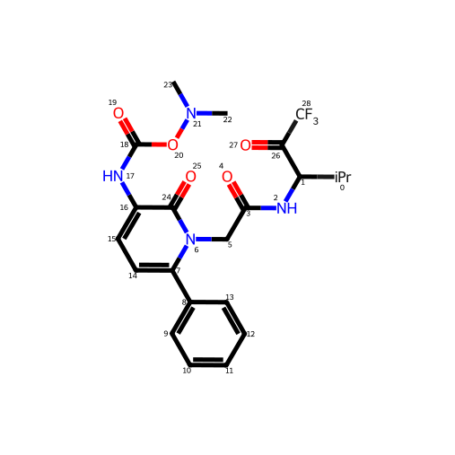 CC(C)C(NC(=O)Cn1c(-c2ccccc2)ccc(NC(=O)ON(C)C)c1=O)C(=O)C(F)(F)F